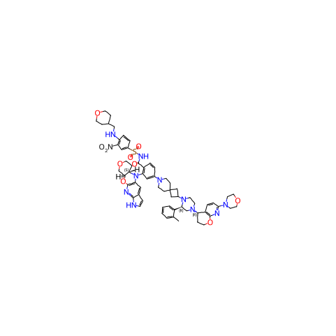 Cc1ccccc1[C@@H]1CN([C@@H]2CCOc3nc(N4CCOCC4)ccc32)CCN1C1CC2(CCN(c3ccc(C(=O)NS(=O)(=O)c4ccc(NCC5CCOCC5)c([N+](=O)[O-])c4)c(N4c5cc6cc[nH]c6nc5O[C@H]5COCC[C@@H]54)c3)CC2)C1